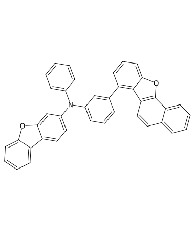 c1ccc(N(c2cccc(-c3cccc4oc5c6ccccc6ccc5c34)c2)c2ccc3c(c2)oc2ccccc23)cc1